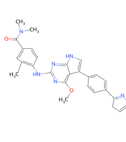 COc1nc(Nc2ccc(C(=O)N(C)C)cc2C)nc2[nH]cc(-c3ccc(C4=NC=CC4)cc3)c12